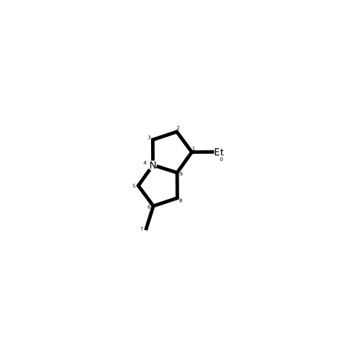 CCC1CCN2CC(C)CC12